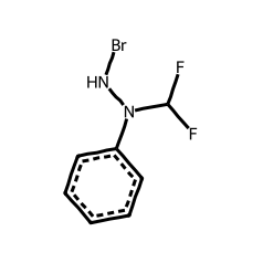 FC(F)N(NBr)c1ccccc1